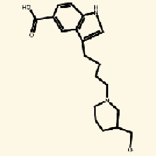 [O]CC1CCCN(CCCCc2c[nH]c3ccc(C(=O)O)cc23)C1